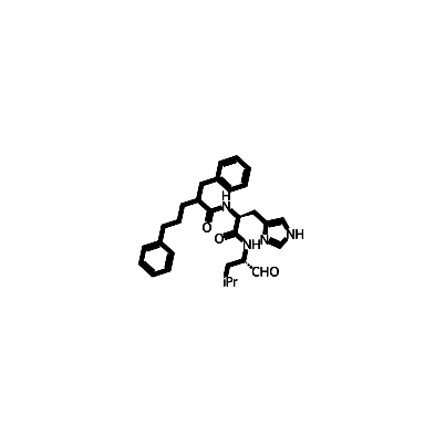 CC(C)C[C@@H](C=O)NC(=O)[C@H](Cc1c[nH]cn1)NC(=O)C(CCCc1ccccc1)Cc1ccccc1